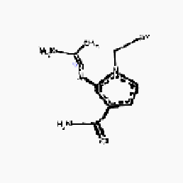 C/C(N)=N\c1c(C(N)=O)ccn1CC(C)C